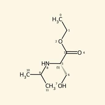 CCOC(=O)[C@H](CO)NC(C)C